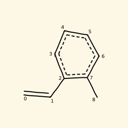 C=Cc1[c]cccc1C